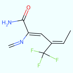 C=N/C(=C\C(=C/C)C(F)(F)F)C(N)=O